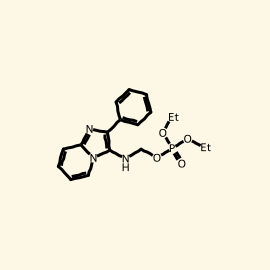 CCOP(=O)(OCC)OCNc1c(-c2ccccc2)nc2ccccn12